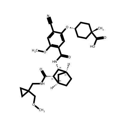 COCC1(CNC(=O)[C@H]2[C@@H]3CC[C@@H](C3)[C@H]2NC(=O)c2cc(O[C@H]3CC[C@@](C)(C(=O)O)CC3)c(C#N)cc2OC)CC1